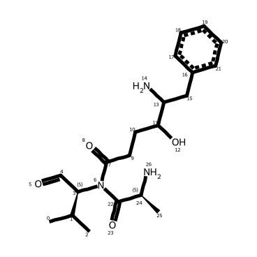 CC(C)[C@@H]([C]=O)N(C(=O)CCC(O)C(N)Cc1ccccc1)C(=O)[C@H](C)N